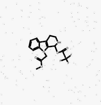 COC(=O)Cn1c2c(c3ccccc31)CCNC2OC(=O)C(F)(F)F